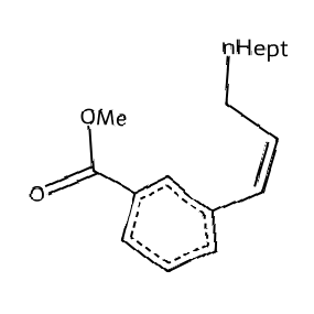 CCCCCCCC/C=C\c1cccc(C(=O)OC)c1